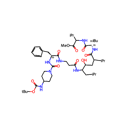 CC[C@H](C)[C@H](NC(=O)C(CC(O)C(CC(C)C)NC(=O)CCNC(=O)[C@H](Cc1ccccc1)NC(=O)N1CCC(NC(=O)OC(C)(C)C)CC1)C(C)C)C(=O)NC(C(=O)OC)C(C)C